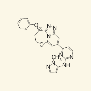 Cn1nccc1Nc1nccc(-c2cc3n4c(nnc4c2)[C@H](Oc2ccccc2)CCO3)n1